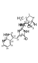 CC1(C)[C@@H]2CC[C@]1(C)[C@H](NC1=N/C(=C\c3c[nH]c4ncccc34)C(=O)N1)C2